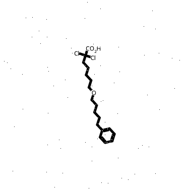 O=C(O)C(Cl)(Cl)CCCCCOCCCCCc1ccccc1